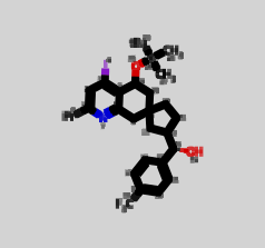 CC(C)c1cc(I)c2c(n1)CC1(CCC([C@H](O)c3ccc(C(F)(F)F)cc3)C1)CC2O[Si](C)(C)C(C)(C)C